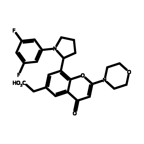 O=C(O)Cc1cc(C2CCCN2c2cc(F)cc(F)c2)c2oc(N3CCOCC3)cc(=O)c2c1